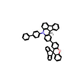 CC12c3ccccc3-c3cccc(c31)N(c1ccc(-c3ccccc3)cc1)c1ccc(-c3ccc4c(c3)C3(c5ccccc5O4)c4ccccc4-c4ccccc43)cc12